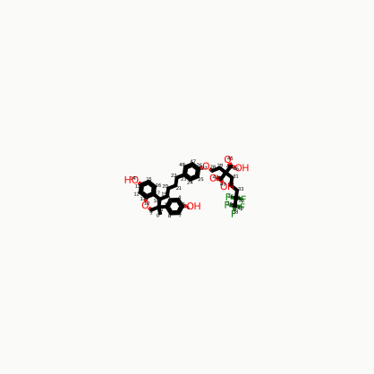 CC1(c2ccc(O)cc2)COc2cc(O)ccc2C1CCCCc1ccc(OCCC(CCCC(F)(F)C(F)(F)F)(C(=O)O)C(=O)O)cc1